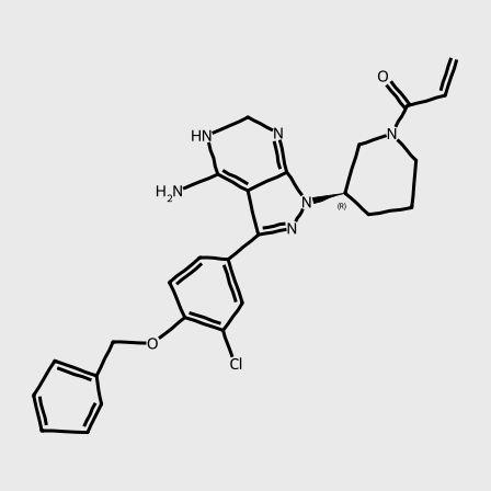 C=CC(=O)N1CCC[C@@H](n2nc(-c3ccc(OCc4ccccc4)c(Cl)c3)c3c2=NCNC=3N)C1